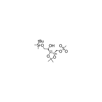 CC1(C)O[C@H](COS(C)(=O)=O)[C@H](C(O)CO[Si](C)(C)C(C)(C)C)O1